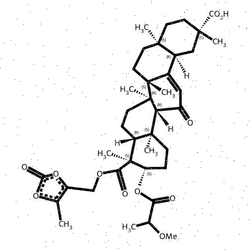 COC(C)C(=O)O[C@H]1CC[C@@]2(C)[C@@H](CC[C@]3(C)[C@@H]2C(=O)C=C2[C@@H]4C[C@@](C)(C(=O)O)CC[C@]4(C)CC[C@]23C)[C@]1(C)C(=O)OCc1oc(=O)oc1C